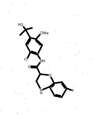 COc1cc(NC(=O)C2CNc3ccc(F)cc3O2)c(Cl)cc1C(C)(C)O